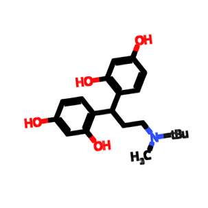 CN(CCC(c1ccc(O)cc1O)c1ccc(O)cc1O)C(C)(C)C